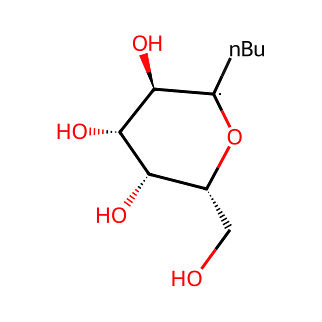 CCCC[C]1O[C@H](CO)[C@H](O)[C@H](O)[C@H]1O